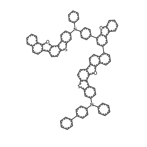 c1ccc(-c2ccc(N(c3ccccc3)c3ccc4c(c3)sc3ccc5c6ccc7c(-c8cc(-c9ccc(N(c%10ccccc%10)c%10ccc%11c(c%10)sc%10ccc%12c%13ccc%14ccccc%14c%13oc%12c%10%11)cc9)c9oc%10ccccc%10c9c8)cccc7c6oc5c34)cc2)cc1